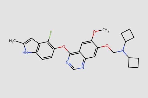 COc1cc2c(Oc3ccc4[nH]c(C)cc4c3F)ncnc2cc1OCN(C1CCC1)C1CCC1